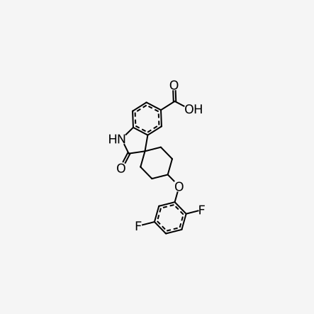 O=C(O)c1ccc2c(c1)C1(CCC(Oc3cc(F)ccc3F)CC1)C(=O)N2